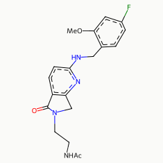 COc1cc(F)ccc1CNc1ccc2c(n1)CN(CCNC(C)=O)C2=O